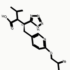 CC(C)C(C(=O)O)[C@H](Cc1ccc(OCC(N)CO)nc1)c1nnn[nH]1